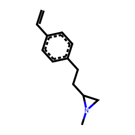 C=Cc1ccc(CCC2CN2C)cc1